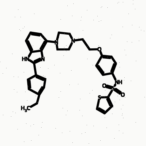 CCc1ccc(-c2nc3c(N4CCN(CCOc5ccc(NS(=O)(=O)c6cccs6)cc5)CC4)cccc3[nH]2)cc1